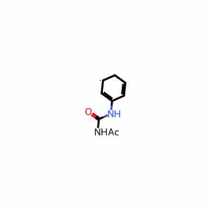 CC(=O)NC(=O)NC1=C[CH]CC=C1